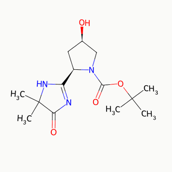 CC(C)(C)OC(=O)N1C[C@H](O)C[C@@H]1C1=NC(=O)C(C)(C)N1